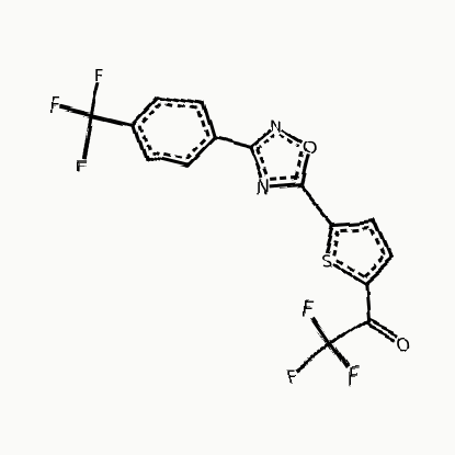 O=C(c1ccc(-c2nc(-c3ccc(C(F)(F)F)cc3)no2)s1)C(F)(F)F